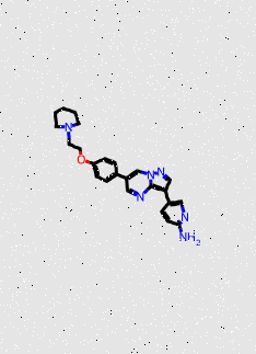 Nc1ccc(-c2cnn3cc(-c4ccc(OCCN5CCCCC5)cc4)cnc23)cn1